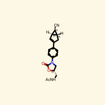 CC(=O)NC[C@H]1CN(c2ccc(C3=C[C@H]4[C@@H](C#N)[C@@H]4C3)cc2)C(=O)O1